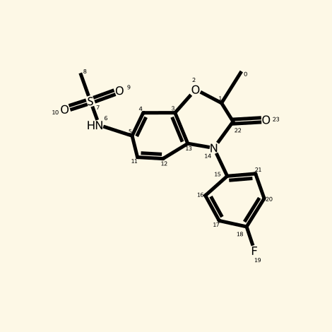 CC1Oc2cc(NS(C)(=O)=O)ccc2N(c2ccc(F)cc2)C1=O